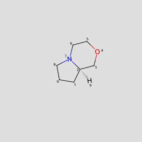 C1C[C@@H]2COCCN2C1